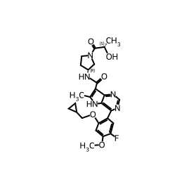 COc1cc(OCC2CC2)c(-c2ncnc3c(C(=O)N[C@@H]4CCN(C(=O)[C@H](C)O)C4)c(C)[nH]c23)cc1F